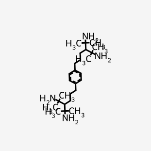 CC(C)(N)C(CCCc1ccc(CCCC(C(C)(C)N)C(C)(C)N)cc1)C(C)(C)N